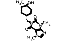 Cn1cnc2c1c(=O)n(C[C@H]1CC[C@](C)(O)CC1)c(=O)n2C